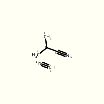 C#N.CC(C)C#N